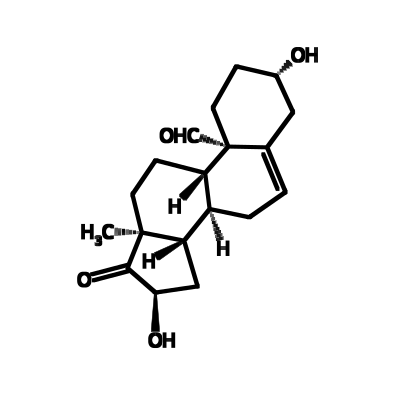 C[C@]12CC[C@H]3[C@@H](CC=C4C[C@@H](O)CC[C@@]43C=O)[C@@H]1C[C@@H](O)C2=O